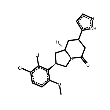 COc1ccc(Cl)c(Cl)c1[C@H]1C[C@H]2CC(c3ccn[nH]3)CC(=O)N2C1